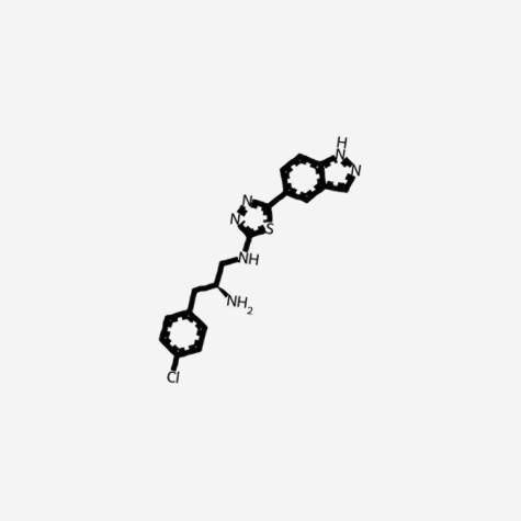 N[C@H](CNc1nnc(-c2ccc3[nH]ncc3c2)s1)Cc1ccc(Cl)cc1